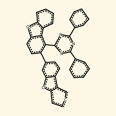 c1ccc(-c2nc(-c3ccccc3)nc(-c3c(-c4ccc5c(c4)oc4ccccc45)ccc4oc5ccccc5c34)n2)cc1